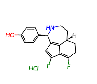 Cl.Oc1ccc([C@H]2NCC[C@@H]3CCC(F)=C4C(F)=CC2=C43)cc1